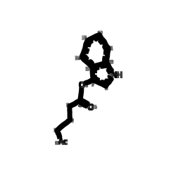 CC(=O)CCCC(=O)Oc1c[nH]c2ccccc12